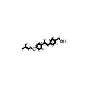 CC(C)=CCOc1ccc(/C(C)=C/c2ccc(CO)cc2)cc1